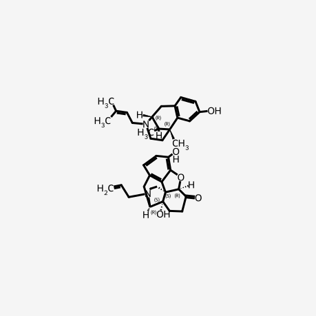 C=CCN1CC[C@]23c4c5ccc(O)c4O[C@H]2C(=O)CC[C@@]3(O)[C@H]1C5.CC(C)=CCN1CC[C@@]2(C)c3cc(O)ccc3C[C@@H]1[C@H]2C